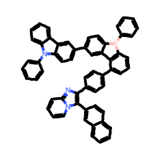 c1ccc(B2c3ccc(-c4ccc5c(c4)c4ccccc4n5-c4ccccc4)cc3-c3c2cccc3-c2ccc(-c3nc4ccccn4c3-c3ccc4ccccc4c3)cc2)cc1